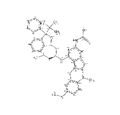 CCC[C@@H](CCO[Si](c1ccccc1)(c1ccccc1)C(C)(C)C)Nc1nc(NC(=O)O)nc2cnn(Cc3cc(CO)cnc3OC)c12